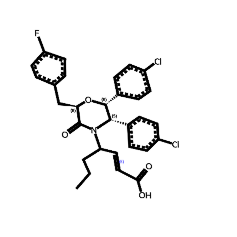 CCCC(/C=C/C(=O)O)N1C(=O)[C@@H](Cc2ccc(F)cc2)O[C@H](c2ccc(Cl)cc2)[C@@H]1c1ccc(Cl)cc1